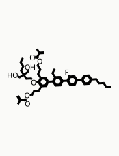 C=C(C)C(=O)OCCCc1cc(-c2ccc(-c3ccc(-c4ccc(CCCCC)cc4)cc3F)cc2CC)cc(CCCOC(=O)C(=C)C)c1OCCC(CO)(CO)CCCC